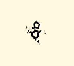 Cc1cc(C)c(C2(C)CCCC2)c(C)c1